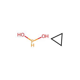 C1CC1.OPO